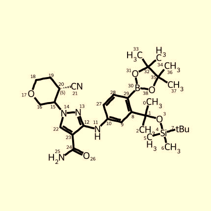 CC(C)(O[Si](C)(C)C(C)(C)C)c1cc(Nc2nn(C3COCC[C@@H]3C#N)cc2C(N)=O)ccc1B1OC(C)(C)C(C)(C)O1